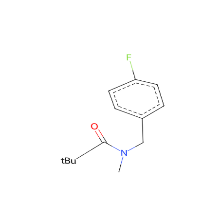 CN(Cc1ccc(F)cc1)C(=O)C(C)(C)C